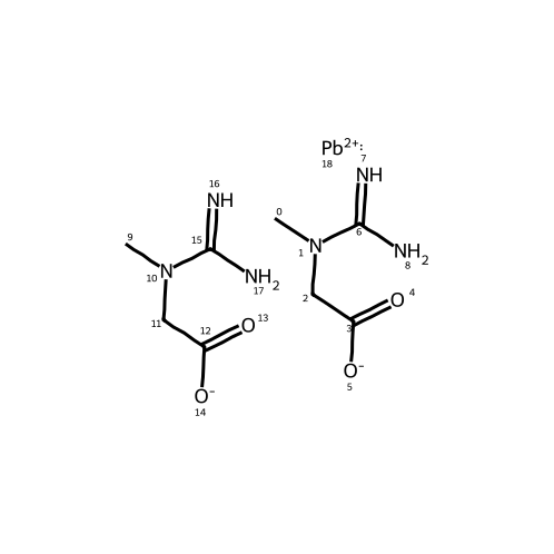 CN(CC(=O)[O-])C(=N)N.CN(CC(=O)[O-])C(=N)N.[Pb+2]